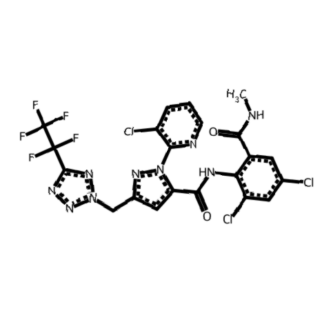 CNC(=O)c1cc(Cl)cc(Cl)c1NC(=O)c1cc(Cn2nnc(C(F)(F)C(F)(F)F)n2)nn1-c1ncccc1Cl